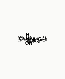 NC(Cc1ccc(OCc2ccccc2)cc1)C(=O)C1=C(O)C(CCc2ccccc2)NC1=O